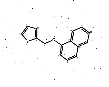 c1csc(COc2cccc3ccccc23)c1